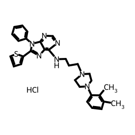 Cc1cccc(N2CCN(CCCNc3ncnc4c3nc(-c3cccs3)n4-c3ccccc3)CC2)c1C.Cl